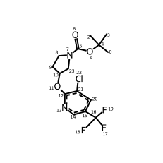 CC(C)(C)OC(=O)N1CCC(Oc2ncc(C(F)(F)F)cc2Cl)C1